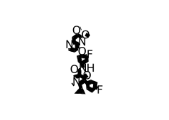 COc1cc2nccc(Oc3ccc(NC(=O)c4cn(C)c(C5CC5)c(-c5ccc(F)cc5)c4=O)cc3F)c2nc1OC